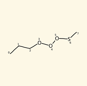 CCCOOOSC